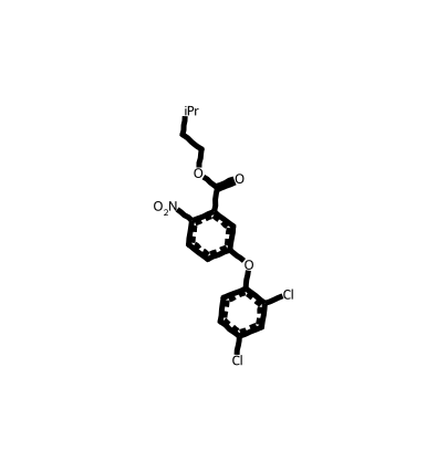 CC(C)CCOC(=O)c1cc(Oc2ccc(Cl)cc2Cl)ccc1[N+](=O)[O-]